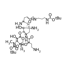 CN(C(=O)OC(C)(C)C)[C@@H]1[C@@H](O)[C@@H](O[C@H]2[C@H](NC(=O)[C@H](O)CCN)C[C@H](N)C([C@H]3OC(CNCCCNC(=O)OC(C)(C)C)=CC[C@H]3N)[C@@H]2O)OC[C@]1(C)O